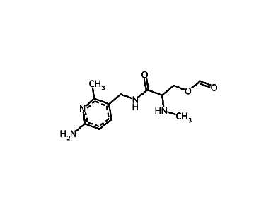 CNC(COC=O)C(=O)NCc1ccc(N)nc1C